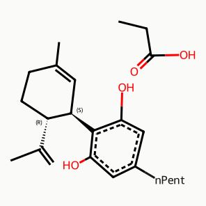 C=C(C)[C@@H]1CCC(C)=C[C@H]1c1c(O)cc(CCCCC)cc1O.CCC(=O)O